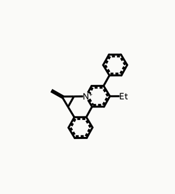 C=C1C2c3ccccc3-c3cc(CC)c(-c4ccccc4)c[n+]3C12